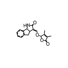 CC1=C(C)C(O/C=C2/C(=O)NC3c4ccccc4CC23)OC1=O